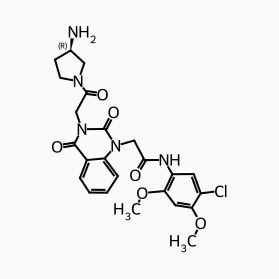 COc1cc(OC)c(NC(=O)Cn2c(=O)n(CC(=O)N3CC[C@@H](N)C3)c(=O)c3ccccc32)cc1Cl